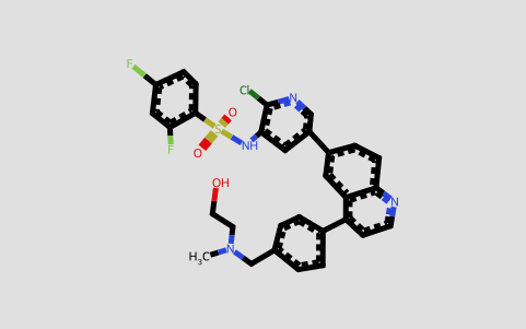 CN(CCO)Cc1ccc(-c2ccnc3ccc(-c4cnc(Cl)c(NS(=O)(=O)c5ccc(F)cc5F)c4)cc23)cc1